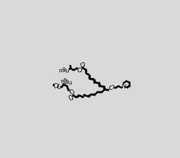 C=C=C=CC(CCCC)CCOC(=O)CCCCCCCCCC(CCCCCCCCCC(=O)OCCC(C)CCCC)COCCCN1CCCCC1